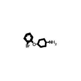 N[C@H]1CC[C@H](Oc2ccccc2Br)CC1